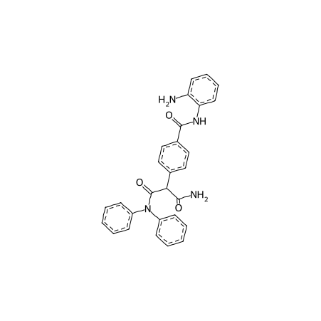 NC(=O)C(C(=O)N(c1ccccc1)c1ccccc1)c1ccc(C(=O)Nc2ccccc2N)cc1